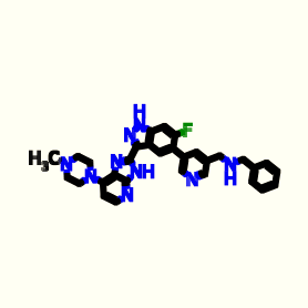 CN1CCN(c2ccnc3[nH]c(-c4n[nH]c5cc(F)c(-c6cncc(CNCc7ccccc7)c6)cc45)nc23)CC1